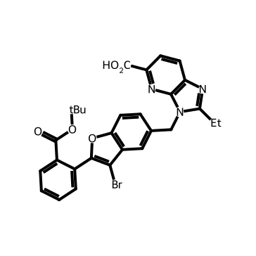 CCc1nc2ccc(C(=O)O)nc2n1Cc1ccc2oc(-c3ccccc3C(=O)OC(C)(C)C)c(Br)c2c1